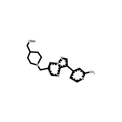 COCC1CCN(Cc2cnc3c(-c4ccnc(C)c4)cnn3c2)CC1